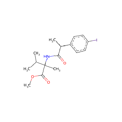 COC(=O)C(C)(NC(=O)C(C)c1ccc(I)cc1)C(C)C